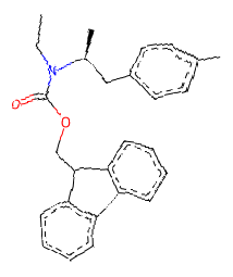 CCN(C(=O)OCC1c2ccccc2-c2ccccc21)[C@@H](C)Cc1ccc(C)cc1